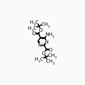 CC(C)(C)OC(=O)c1ncc(C(=O)OC(C)(C)C)c(N)n1